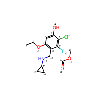 CCOc1cc(O)c(Cl)c(F)c1CNC1CC1.COC=O